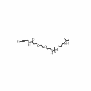 C=C(C)NCCSSC(C)(C)NCCOCCOCCC(=O)NCC#CCC